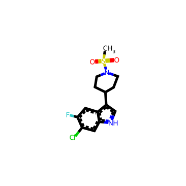 CS(=O)(=O)N1CCC(c2c[nH]c3cc(Cl)c(F)cc23)CC1